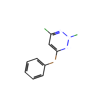 FC1=NN(F)NC(Sc2ccccc2)=C1